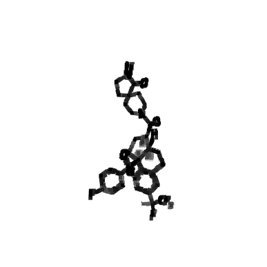 CC(F)(c1ccc2c(c1)CC[C@H]1[C@H](C(=O)N3CCC4(CCNC4=O)CC3)CC[C@@]21S(=O)(=O)c1ccc(F)cc1)C(F)(F)F